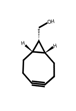 OC[C@H]1[C@H]2CCC#CCC[C@@H]12